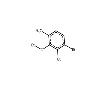 [CH2]c1ccc(CC)c(CC)c1OCC